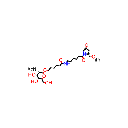 CC(=O)NC1C(OCCCCCC(=O)NCCCCCC(=O)N2C[C@H](O)C[C@H]2COC(C)C)OC(CO)C(O)C1O